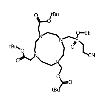 CCOP(=O)(CCC#N)CN1CCN(COC(=O)C(C)(C)C)CCN(CC(=O)OC(C)(C)C)CCN(CC(=O)OC(C)(C)C)CC1